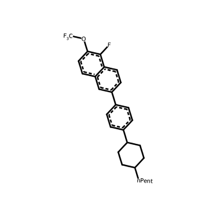 CCCCCC1CCC(c2ccc(-c3ccc4c(F)c(OC(F)(F)F)ccc4c3)cc2)CC1